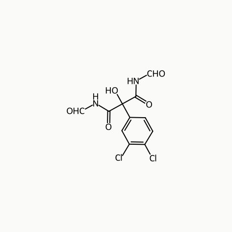 O=CNC(=O)C(O)(C(=O)NC=O)c1ccc(Cl)c(Cl)c1